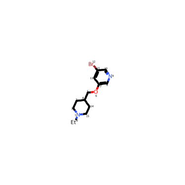 CCN1CCC(COc2cncc(Br)c2)CC1